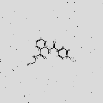 CC(C)CNC(=O)c1ccccc1NC(=O)c1ccc(C(F)(F)F)cc1